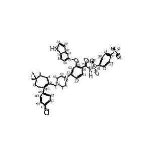 CC1(C)CCC(CN2CCN(c3ccc(C(=O)NS(=O)(=O)c4ccc(S(C)(=O)=O)cc4)c(Oc4ccc5[nH]ccc5c4)c3)CC2)=C(c2ccc(Cl)cc2)C1